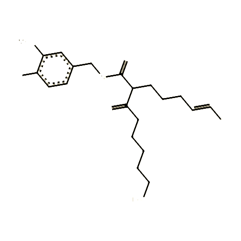 CCCCCCCCCCCCCCCC(=O)C(CCC/C=C/C(C)C)C(=O)NCc1ccc(O)c(OC)c1